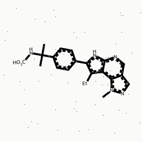 CCc1c(-c2ccc(C(C)(C)NC(=O)O)cc2)[nH]c2ncc3cnn(C)c3c12